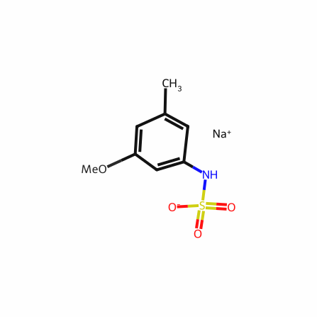 COc1cc(C)cc(NS(=O)(=O)[O-])c1.[Na+]